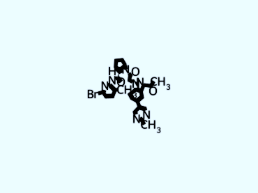 CC(=O)c1nn(CC(=O)N2C3CCC(C3)[C@H]2C(=O)Nc2nc(Br)ccc2C)c2ccc(-c3cnc(C)nc3)cc12